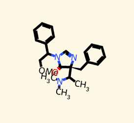 COCC(c1ccccc1)N1C=N[C@](Cc2ccccc2)(C(C)N(C)C)C1=O